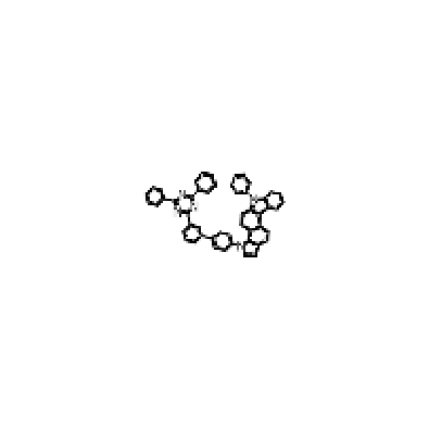 c1ccc(-c2nc(-c3ccccc3)nc(-c3cccc(-c4ccc(-n5ccc6ccc7c(ccc8c7c7ccccc7n8-c7ccccc7)c65)cc4)c3)n2)cc1